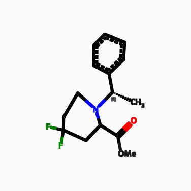 COC(=O)C1CC(F)(F)CCN1[C@@H](C)c1ccccc1